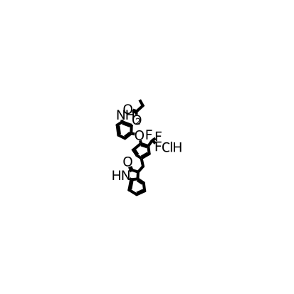 CCC(=O)Oc1c(N)cccc1Oc1ccc(CC2C(=O)Nc3ccccc32)cc1C(F)(F)F.Cl